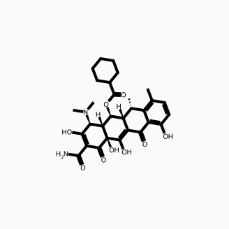 Cc1ccc(O)c2c1[C@@H](C)[C@@H]1C(=C(O)[C@]3(O)C(=O)C(C(N)=O)=C(O)[C@@H](N(C)C)[C@@H]3[C@H]1OC(=O)C1CCCCC1)C2=O